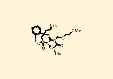 C=CCC1(c2ccccc2F)CS(=O)(=O)N(C)C(N(COCCOC)C(=O)OC(C)(C)C)=N1